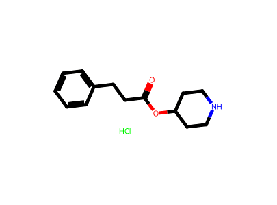 Cl.O=C(CCc1ccccc1)OC1CCNCC1